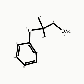 CC(=O)OCC(C)(C)Oc1cc[c]cc1